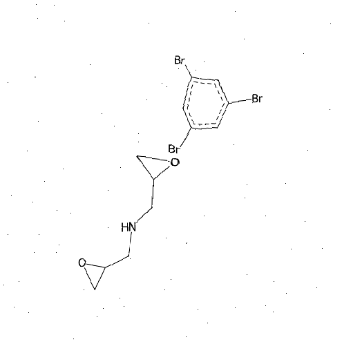 Brc1cc(Br)cc(Br)c1.C(NCC1CO1)C1CO1